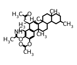 CC(=N)Oc1c(OC(C)=O)cc2c(c1C)C(SC(C)=O)C=C1C2(C)CCC2C3CC(C)CCC3(C)CCC12C